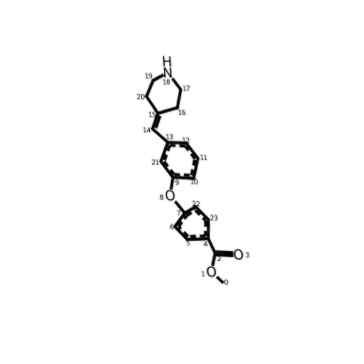 COC(=O)c1ccc(Oc2cccc(C=C3CCNCC3)c2)cc1